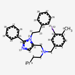 Cc1ccc(CN(CCC(C)C)Cc2cnc(-c3ccccc3)n2CCc2ccccc2)cc1I